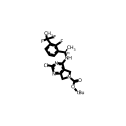 C[C@@H](Nc1nc(Cl)nc2c1CN(C(=O)OC(C)(C)C)C2)c1cccc(C(C)(F)F)c1F